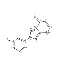 Cc1cc(-n2nc3[nH]ccc(=O)c3n2)ccn1